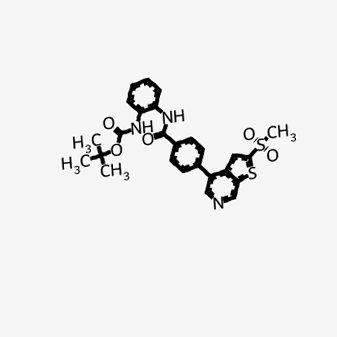 CC(C)(C)OC(=O)Nc1ccccc1NC(=O)c1ccc(-c2cncc3sc(S(C)(=O)=O)cc23)cc1